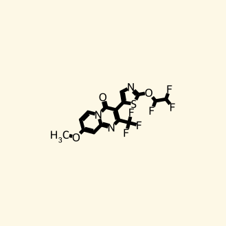 COc1ccn2c(=O)c(-c3cnc(OC(F)C(F)F)s3)c(C(F)(F)F)nc2c1